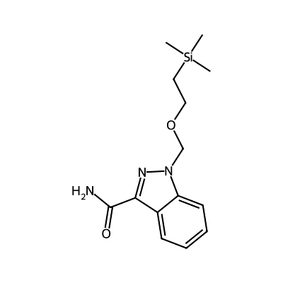 C[Si](C)(C)CCOCn1nc(C(N)=O)c2ccccc21